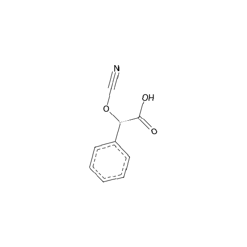 N#COC(C(=O)O)c1ccccc1